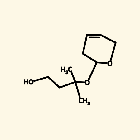 CC(C)(CCO)OC1CC=CCO1